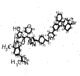 Cc1ncsc1-c1ccc([C@H](C)NC(=O)[C@@H]2C[C@@H](O)CN2C(=O)[C@H](C2CCOCC2)n2cc(C3CCC(CN4CCC(c5ccc6c(c5)-n5c(nc(=O)c7c(Br)cccc75)C65CCCCC5)CC4)CC3)nn2)cc1